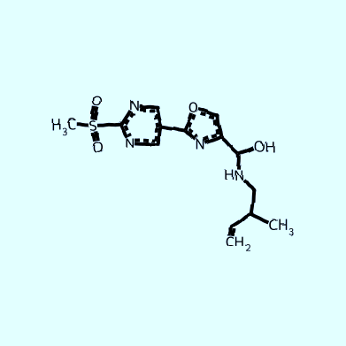 C=CC(C)CNC(O)c1coc(-c2cnc(S(C)(=O)=O)nc2)n1